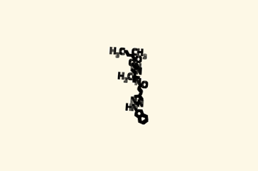 CCCC(C)C(=O)On1cc(C2(C)CN(C(=O)/C=C/c3cnc(NC4Cc5ccccc5C4)nc3)C2)nn1